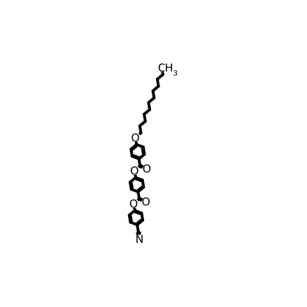 CCCCCCCCCCCCOc1ccc(C(=O)Oc2ccc(C(=O)Oc3ccc(C#N)cc3)cc2)cc1